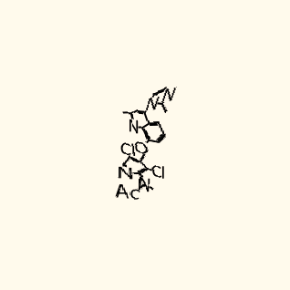 CC(=O)N(C)c1ncc(Cl)c(COc2cccc3c(-n4ccnc4C)cc(C)nc23)c1Cl